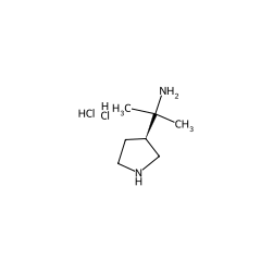 CC(C)(N)[C@@H]1CCNC1.Cl.Cl